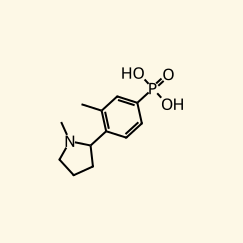 Cc1cc(P(=O)(O)O)ccc1C1CCCN1C